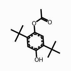 CC(=O)Oc1cc(C(C)(C)C)c(O)cc1C(C)(C)C